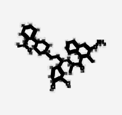 Cc1c(ON)cc2ccccc2c1C(=O)N(C)C[C@@H](CCN1CCC(c2ccccc2[S@+](C)[O-])CC1)c1ccc(Cl)c(Cl)c1